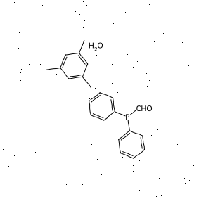 Cc1cc(C)cc(C)c1.O.O=CP(c1ccccc1)c1ccccc1